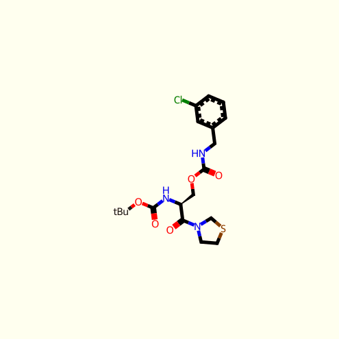 CC(C)(C)OC(=O)N[C@@H](COC(=O)NCc1cccc(Cl)c1)C(=O)N1CCSC1